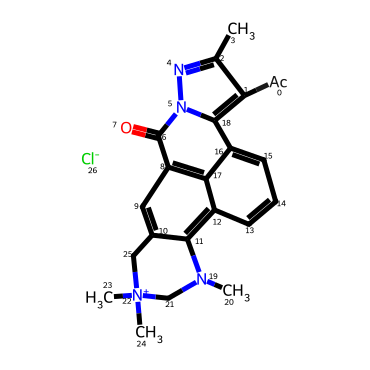 CC(=O)c1c(C)nn2c(=O)c3cc4c(c5cccc(c53)c12)N(C)C[N+](C)(C)C4.[Cl-]